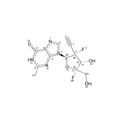 C#C[C@]1(F)[C@H](n2cnc3c(=O)[nH]c(C)nc32)O[C@](F)(CO)[C@H]1O